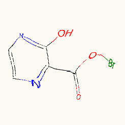 O=C(OBr)c1nccnc1O